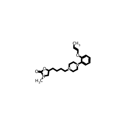 CC=COc1ccccc1N1CCN(CCCCC2CN(C)C(=O)O2)CC1